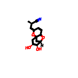 C[C@@H](C#N)CC1CCC2O[C@@H]3CC2(C[C@@H](O)[C@H]3O)O1